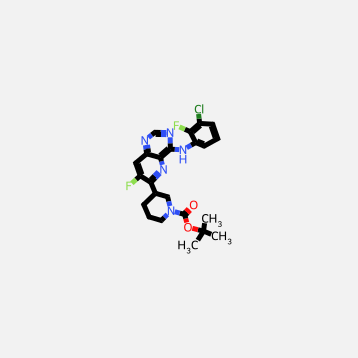 CC(C)(C)OC(=O)N1CCCC(c2nc3c(Nc4cccc(Cl)c4F)ncnc3cc2F)C1